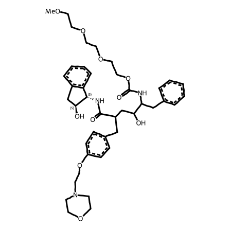 COCCOCCOCCOC(=O)NC(Cc1ccccc1)C(O)CC(Cc1ccc(OCCN2CCOCC2)cc1)C(=O)N[C@H]1c2ccccc2C[C@@H]1O